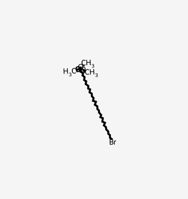 CCO[Si](CCCCCCCCCCCCCCCCCCCCCCCCCCCCCCCCCCBr)(OCC)OCC